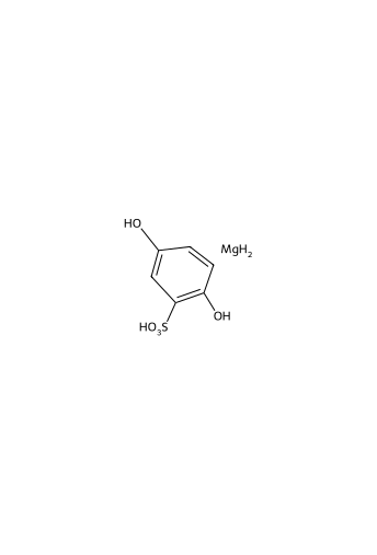 O=S(=O)(O)c1cc(O)ccc1O.[MgH2]